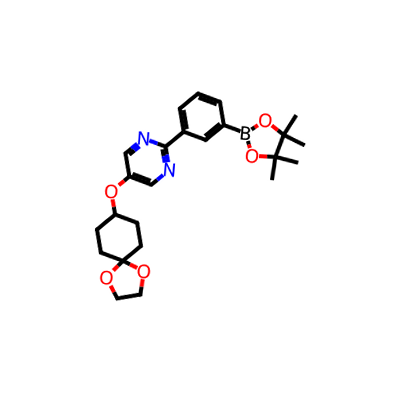 CC1(C)OB(c2cccc(-c3ncc(OC4CCC5(CC4)OCCO5)cn3)c2)OC1(C)C